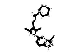 Cc1nn(-c2ccc3nnc(C)n3n2)c(C)c1CCC(=O)N1CCCCCC1